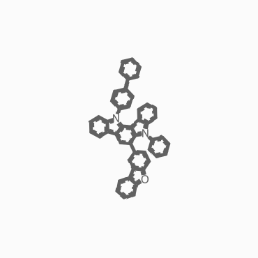 c1ccc(-c2ccc(-n3c4ccccc4c4cc(-c5ccc6oc7ccccc7c6c5)c5c(c6ccccc6n5-c5ccccc5)c43)cc2)cc1